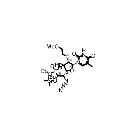 CCOP(=O)(OCC)[C@H](O[Si](C)(C)C(C)(C)C)C(N=[N+]=[N-])[C@H]1O[C@@H](n2cc(C)c(=O)[nH]c2=O)[C@H](OCCOC)[C@@H]1O